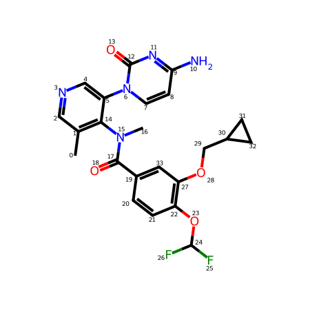 Cc1cncc(-n2ccc(N)nc2=O)c1N(C)C(=O)c1ccc(OC(F)F)c(OCC2CC2)c1